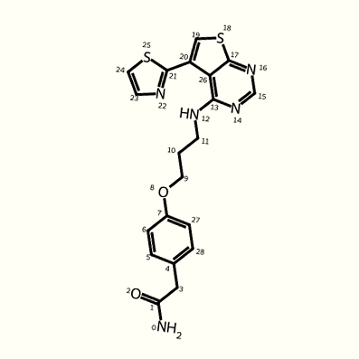 NC(=O)Cc1ccc(OCCCNc2ncnc3scc(-c4nccs4)c23)cc1